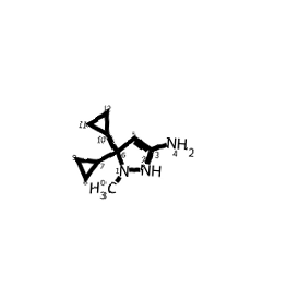 CN1NC(N)=CC1(C1CC1)C1CC1